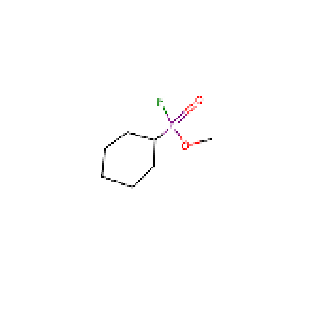 COP(=O)(F)C1CCCCC1